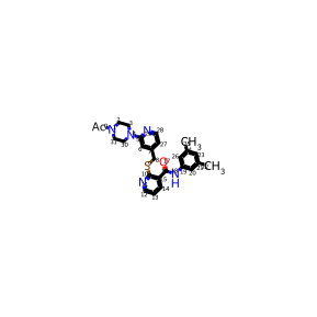 CC(=O)N1CCN(c2cc(CSc3ncccc3C(=O)Nc3cc(C)cc(C)c3)ccn2)CC1